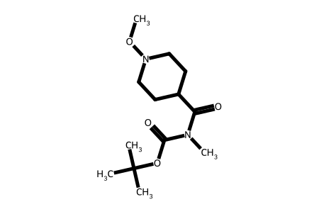 CON1CCC(C(=O)N(C)C(=O)OC(C)(C)C)CC1